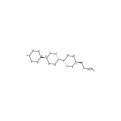 CCC[C@H]1CC[C@H]([C@H]2CC[C@H](C3CC[CH]CC3)CC2)CC1